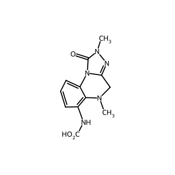 CN1Cc2nn(C)c(=O)n2-c2cccc(NC(=O)O)c21